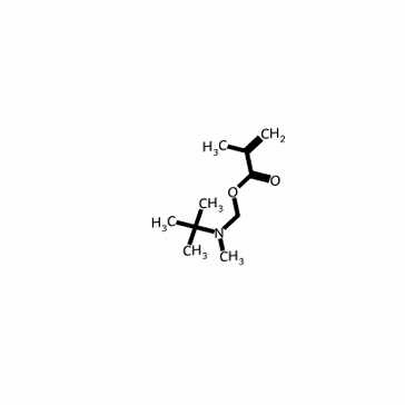 C=C(C)C(=O)OCN(C)C(C)(C)C